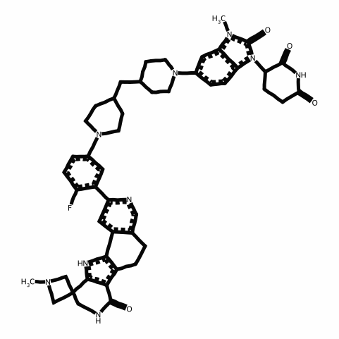 CN1CC2(CNC(=O)c3c2[nH]c2c3CCc3cnc(-c4cc(N5CCC(CC6CCN(c7ccc8c(c7)n(C)c(=O)n8C7CCC(=O)NC7=O)CC6)CC5)ccc4F)cc3-2)C1